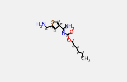 CCCCCCOC(=O)/N=C(\N)c1csc(CN)c1